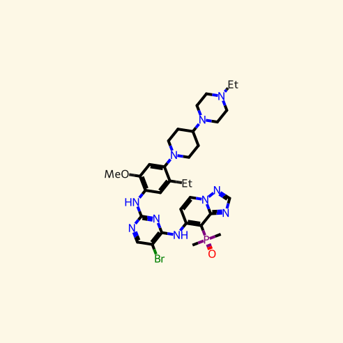 CCc1cc(Nc2ncc(Br)c(Nc3ccn4ncnc4c3P(C)(C)=O)n2)c(OC)cc1N1CCC(N2CCN(CC)CC2)CC1